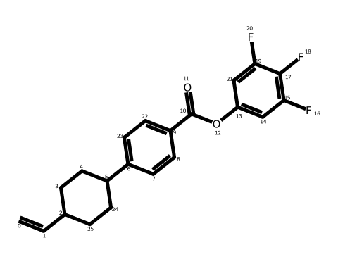 C=CC1CCC(c2ccc(C(=O)Oc3cc(F)c(F)c(F)c3)cc2)CC1